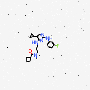 CN(CCCNc1nc(Nc2cccc(F)c2)ncc1C1CC1)C(=O)C1CCC1